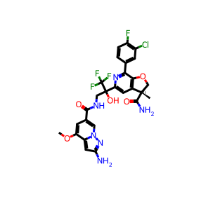 COc1cc(C(=O)NCC(O)(c2cc3c(c(-c4ccc(F)c(Cl)c4)n2)OC[C@]3(C)C(N)=O)C(F)(F)F)cn2nc(N)cc12